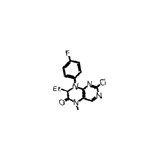 CCC1C(=O)N(C)c2cnc(Cl)nc2N1c1ccc(F)cc1